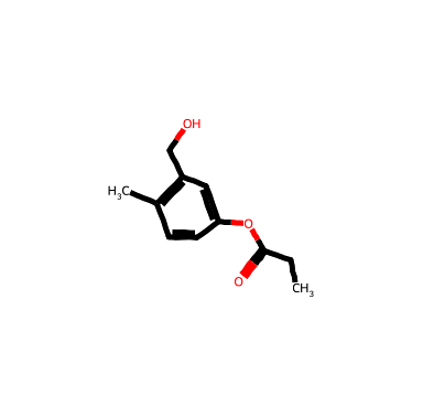 CCC(=O)Oc1ccc(C)c(CO)c1